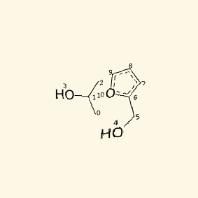 CC(C)O.OCc1ccco1